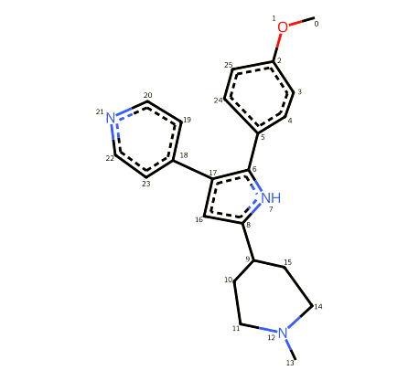 COc1ccc(-c2[nH]c(C3CCN(C)CC3)cc2-c2ccncc2)cc1